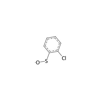 [O]Sc1ccccc1Cl